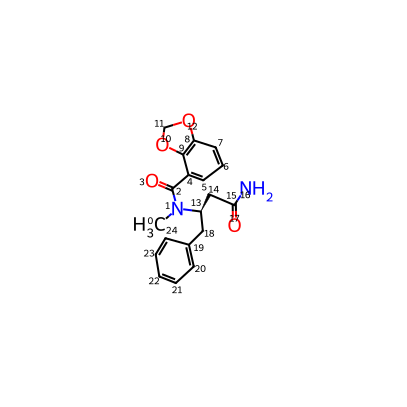 CN(C(=O)c1cccc2c1OCO2)[C@@H](CC(N)=O)Cc1ccccc1